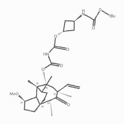 C=C[C@]1(C)C[C@@H](OC(=O)NC(=O)O[C@H]2C[C@H](NC(=O)OC(C)(C)C)C2)[C@]2(C)C(C)CC[C@]3(CC[C@@H](OC)C32)[C@@H](C)C1=O